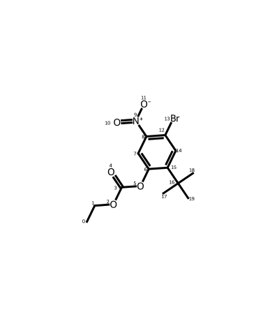 CCOC(=O)Oc1cc([N+](=O)[O-])c(Br)cc1C(C)(C)C